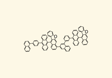 c1cc(-c2cc(-c3cccc4c(-c5c6ccccc6c(-c6ccc(-c7cccc8ccccc78)cc6)c6ccccc56)c5c(cc34)oc3ccccc35)cc3ccccc23)cc(-c2c3ccccc3c(-c3c4ccccc4cc4oc5ccccc5c34)c3ccccc23)c1